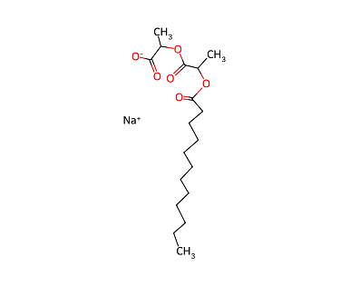 CCCCCCCCCCCC(=O)OC(C)C(=O)OC(C)C(=O)[O-].[Na+]